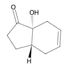 O=C1CC[C@H]2CC=CC[C@]12O